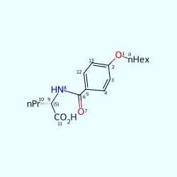 CCCCCCOc1ccc(C(=O)N[C@@H](CCC)C(=O)O)cc1